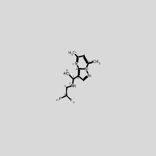 Cc1cc(C)n2ncc(C(O)NCC(F)F)c2n1